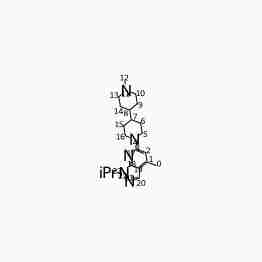 Cc1cc(N2CCC(C3CCN(C)CC3)CC2)nc2c1cnn2C(C)C